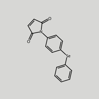 O=C1C=CC(=O)N1c1ccc([Se]c2ccccc2)cc1